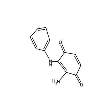 NC1=C(Nc2ccccc2)C(=O)C=CC1=O